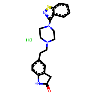 Cl.O=C1Cc2cc(CCN3CCN(c4nsc5ccccc45)CC3)ccc2N1